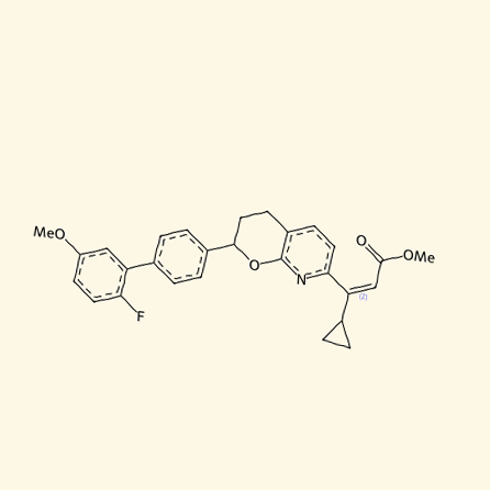 COC(=O)/C=C(\c1ccc2c(n1)OC(c1ccc(-c3cc(OC)ccc3F)cc1)CC2)C1CC1